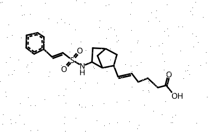 O=C(O)CCC/C=C/C1CC2CC(NS(=O)(=O)/C=C/c3ccccc3)C1C2